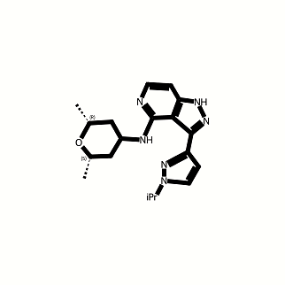 CC(C)n1ccc(-c2n[nH]c3ccnc(NC4C[C@@H](C)O[C@@H](C)C4)c23)n1